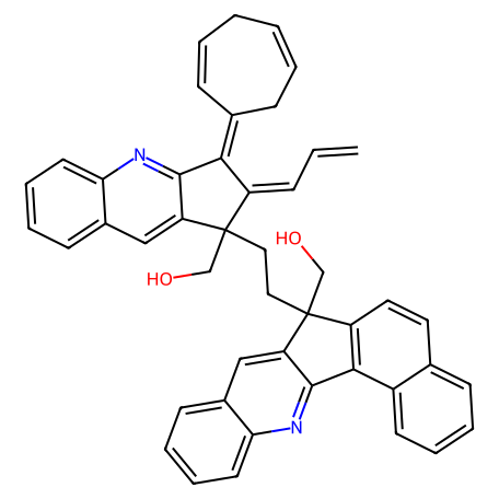 C=C/C=C1\C(=C2\C=CCC=CC2)c2nc3ccccc3cc2C1(CO)CCC1(CO)c2cc3ccccc3nc2-c2c1ccc1ccccc21